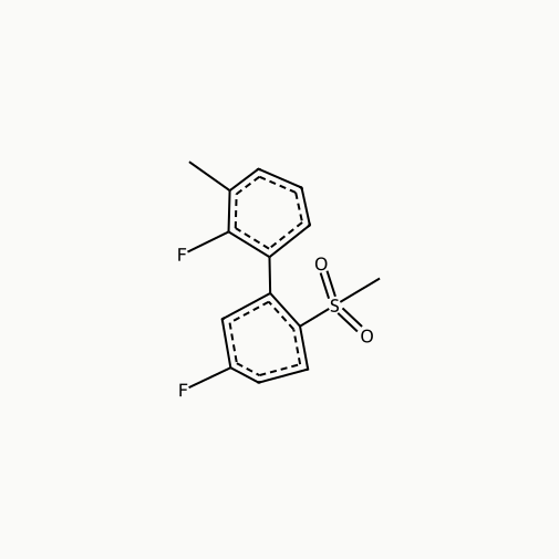 Cc1cccc(-c2cc(F)ccc2S(C)(=O)=O)c1F